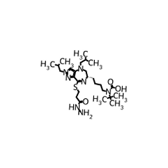 CC(C)CN1C[C@H](CCCCN(C(=O)O)C(C)(C)C)N=C(SCCC(=O)NN)c2nn(CC(C)C)cc21